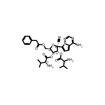 CC(C)C(N)C(=O)O[C@@H]1[C@H](OC(=O)[C@@H](N)C(C)C)[C@@H](COC(=O)Cc2ccccc2)O[C@@]1(C#N)c1ccc2c(N)ncnn12